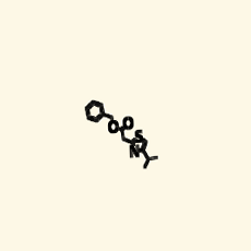 CC(C)c1csc(CC(=O)OCc2ccccc2)n1